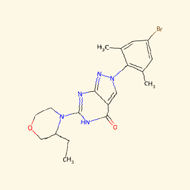 CCC1COCCN1c1nc2nn(-c3c(C)cc(Br)cc3C)cc2c(=O)[nH]1